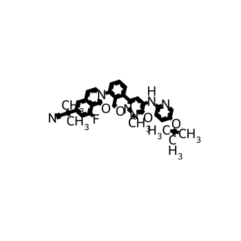 Cn1nc(-c2cccc(-n3ccc4cc(C(C)(C)C#N)cc(F)c4c3=O)c2C=O)cc(Nc2ccc(OC(C)(C)C)cn2)c1=O